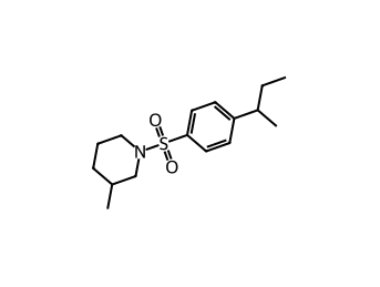 CCC(C)c1ccc(S(=O)(=O)N2CCCC(C)C2)cc1